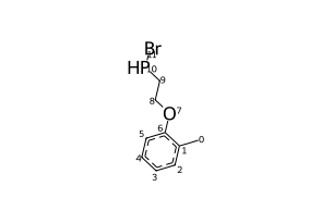 Cc1ccccc1OCCPBr